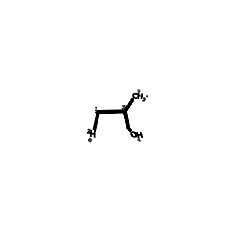 [2H][CH]C([CH2])O